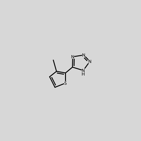 Cc1ccsc1-c1nnn[nH]1